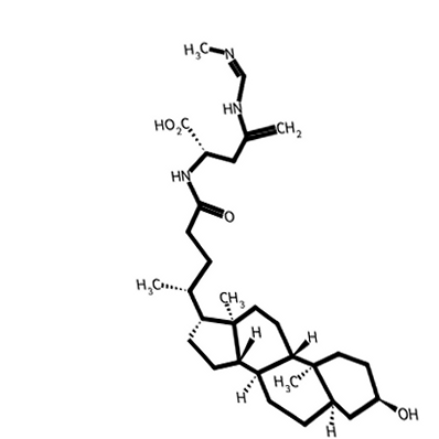 C=C(C[C@H](NC(=O)CC[C@@H](C)[C@H]1CC[C@H]2[C@@H]3CC[C@@H]4C[C@H](O)CC[C@]4(C)[C@H]3CC[C@]12C)C(=O)O)N/C=N\C